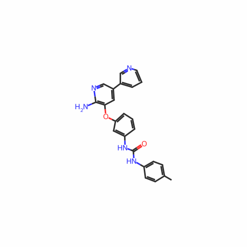 Cc1ccc(NC(=O)Nc2cccc(Oc3cc(-c4cccnc4)cnc3N)c2)cc1